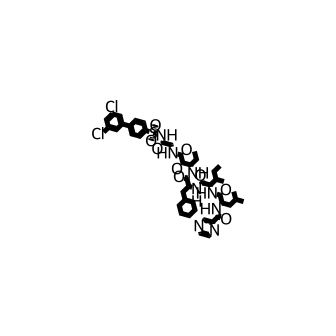 CCC(NC(=O)C(CC1CCCCC1)NC(=O)C(NC(=O)C(CC(C)C)NC(=O)c1cnccn1)C(C)CC)C(=O)C(=O)NCC(=O)NS(=O)(=O)c1ccc(-c2cc(Cl)cc(Cl)c2)cc1